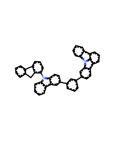 c1cc(-c2ccc3c(c2)c2ccccc2n3-c2cccc3c2Cc2ccccc2-3)cc(-c2ccc3c4cccc5c6ccccc6n(c3c2)c54)c1